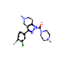 CN1CCN(C(=O)n2nc(-c3ccc(F)c(F)c3)c3c2CCN(C)C3)CC1